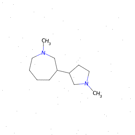 CN1CCCCC(C2CCN(C)C2)C1